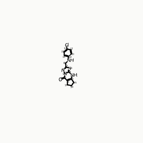 O=c1c2c([nH]c3nc(CNc4ccc(Cl)cc4)nn13)CCC2